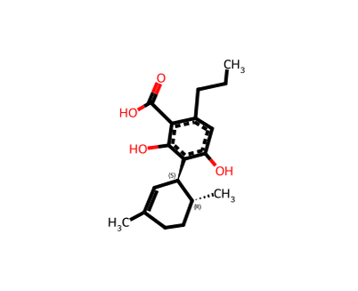 CCCc1cc(O)c([C@@H]2C=C(C)CC[C@H]2C)c(O)c1C(=O)O